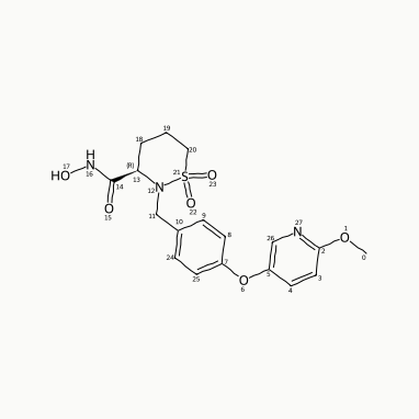 COc1ccc(Oc2ccc(CN3[C@@H](C(=O)NO)CCCS3(=O)=O)cc2)cn1